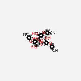 CCCCC(OB(O)c1ccc(Oc2ccc(C#N)cc2)cc1CO)B(OB(O)c1ccc(Oc2ccc(C#N)cc2)cc1CO)c1ccc(Oc2ccc(C#N)cc2)cc1CO